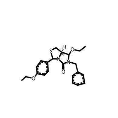 CCOc1ccc(C2SC[C@H]3C(OCC)N(Cc4ccccc4)C(=O)N23)cc1